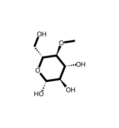 CO[C@H]1[C@H](O)[C@@H](O)[C@H](O)O[C@@H]1CO